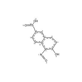 O=Nc1c(O)ccc2cc(S(=O)O)ccc12